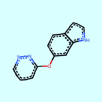 c1cnnc(Oc2ccc3cc[nH]c3c2)c1